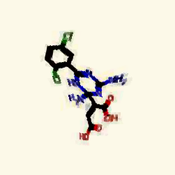 NC1=NC(N)(/C(=C/C(=O)O)C(=O)O)NC(c2cc(Cl)ccc2Cl)=N1